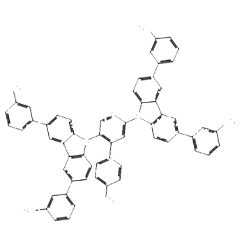 N#Cc1ccc(-c2cc(-n3c4ccc(-c5cccc(C#N)c5)cc4c4cc(-c5cccc(C#N)c5)ccc43)ncc2-n2c3ccc(-c4cccc(C#N)c4)cc3c3cc(-c4cccc(C#N)c4)ccc32)cc1